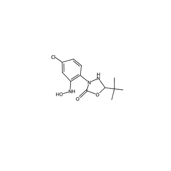 CC(C)(C)C1NN(c2ccc(Cl)cc2NO)C(=O)O1